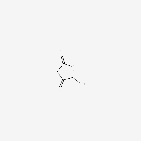 CC(C)C1SC(=O)CC1=O